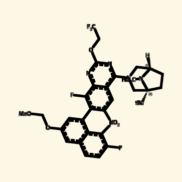 COCOc1cc(-c2c([N+](=O)[O-])cc3c(N4C[C@@H]5CC[C@@](C(C)(C)C)(C4)N5C(=O)O)nc(OCC(F)(F)F)nc3c2F)c2c(F)c(F)ccc2c1